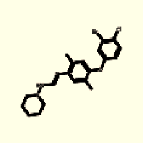 Cc1cc(Oc2ccc(Cl)c(Br)c2)c(C)cc1/N=C/NN1CCCCC1